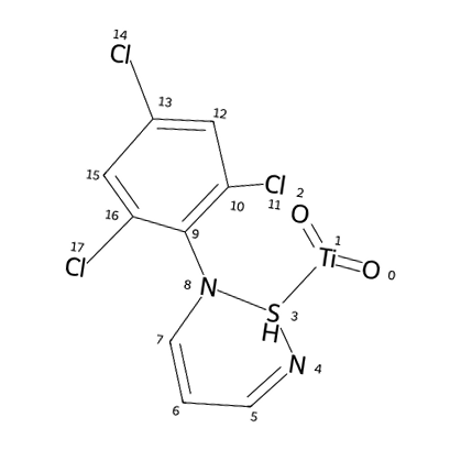 [O]=[Ti](=[O])[SH]1N=CC=CN1c1c(Cl)cc(Cl)cc1Cl